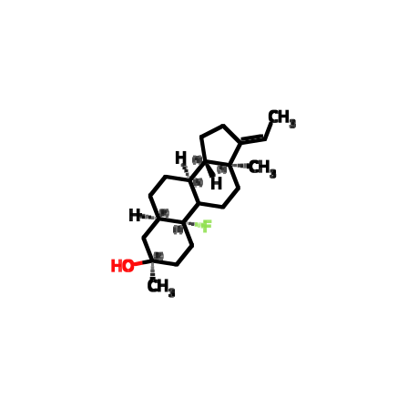 CC=C1CC[C@H]2[C@@H]3CC[C@@H]4C[C@](C)(O)CC[C@]4(F)C3CC[C@]12C